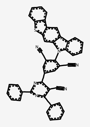 N#Cc1cc(-c2nc(-c3ccccc3)nc(-c3ccccc3)c2C#N)cc(C#N)c1-n1c2ccccc2c2cc3c(cc21)sc1ccccc13